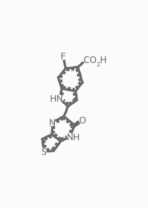 O=C(O)c1cc2cc(-c3nc4cscc4[nH]c3=O)[nH]c2cc1F